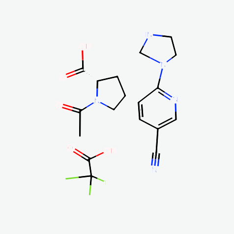 CC(=O)N1CCC[C@H]1C(=O)O.N#Cc1ccc(N2[C]NCC2)nc1.O=C(O)C(F)(F)F